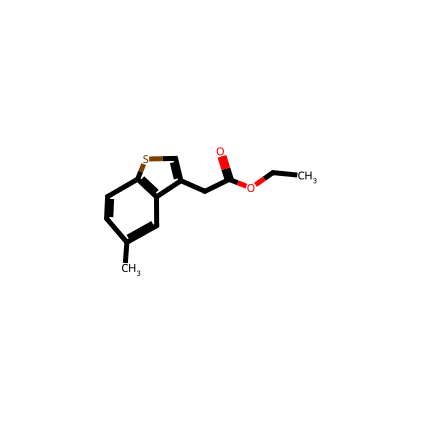 CCOC(=O)Cc1csc2ccc(C)cc12